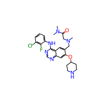 CN(CC(=O)N(C)C)Cc1cc2c(Nc3cccc(Cl)c3F)ncnc2cc1OC1CCNCC1